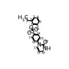 CCc1ccccc1OS(=O)(=O)c1ccc(N2C=CCNC2=O)cc1